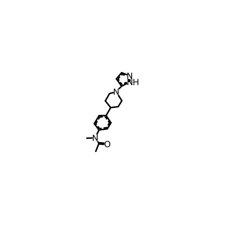 CC(=O)N(C)c1ccc(C2CCN(c3ccn[nH]3)CC2)cc1